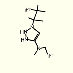 CC(C)CN(C)C1=CN(C(C)(C)C(C)(C)C(C)C)NN1